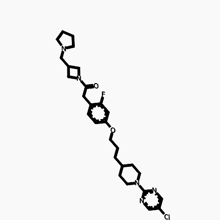 O=C(Cc1ccc(OCCCC2CCN(c3ncc(Cl)cn3)CC2)cc1F)N1CC(CN2CCCC2)C1